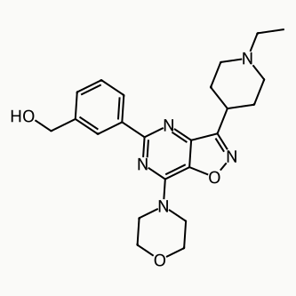 CCN1CCC(c2noc3c(N4CCOCC4)nc(-c4cccc(CO)c4)nc23)CC1